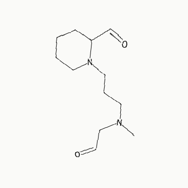 CN(CC=O)CCCN1CCCCC1C=O